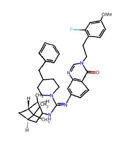 COc1ccc(CCn2cnc3cc(N=C(NC4C[C@H]5C[C@H]([C@H]4C)C5(C)C)N4CCC(Cc5ccccc5)CC4)ccc3c2=O)c(F)c1